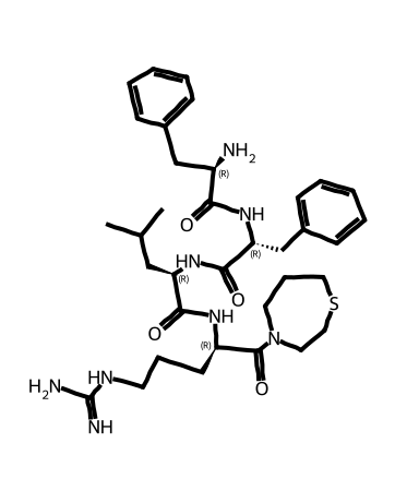 CC(C)C[C@@H](NC(=O)[C@@H](Cc1ccccc1)NC(=O)[C@H](N)Cc1ccccc1)C(=O)N[C@H](CCCNC(=N)N)C(=O)N1CCCSCC1